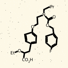 CCOC(Cc1ccc(OCCN(CC(C)C)C(=O)OCc2ccc(F)cc2)cc1)C(=O)O